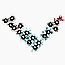 Fc1c(F)c(F)c(-c2c(F)c(F)c(F)c(F)c2F)c(F)c1F.Fc1c(F)c(F)c(-c2c(F)c(F)c(F)c(F)c2F)c(F)c1F.Fc1c(F)c(F)c(-c2c(F)c(F)c(F)c(F)c2F)c(F)c1F.Fc1c(F)c(F)c(-c2c(F)c(F)c(F)c(F)c2F)c(F)c1F.OB(O)O.c1ccc(P(c2ccccc2)c2ccccc2)cc1.c1ccc(P(c2ccccc2)c2ccccc2)cc1.c1ccc(P(c2ccccc2)c2ccccc2)cc1